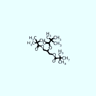 CC(C)(C)C(=O)OCC(COC(=O)C(C)(C)C)OC(=O)C(C)(C)C